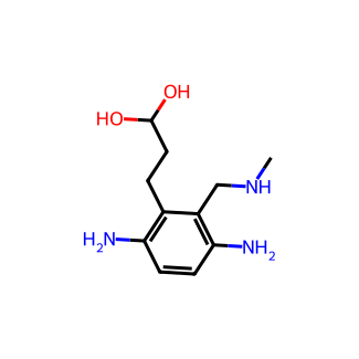 CNCc1c(N)ccc(N)c1CCC(O)O